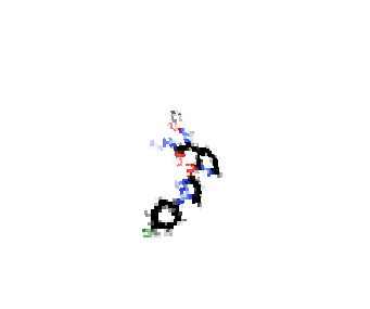 CCO/N=C(\C(N)=O)c1cccnc1Oc1ccn(-c2ccc(Cl)cc2)n1